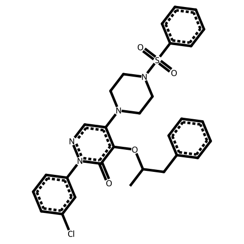 CC(Cc1ccccc1)Oc1c(N2CCN(S(=O)(=O)c3ccccc3)CC2)cnn(-c2cccc(Cl)c2)c1=O